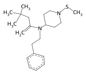 C=C(CC(C)(C)C)N(CCc1ccccc1)C1CCN(SC)CC1